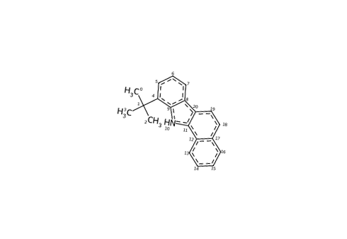 CC(C)(C)c1cccc2c1[nH]c1c3ccccc3ccc21